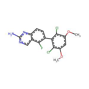 COc1cc(OC)c(Cl)c(-c2ccc3nc(N)ncc3c2F)c1Cl